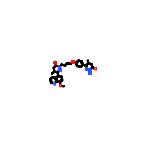 COc1ccc(C2=NN(CCCCOc3ccc(C4=NNC(=O)CC4C)cc3)C(=O)CC2C)c2cccnc12